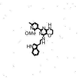 COc1nc(C)ccc1-c1nc2c(c(NCCc3c[nH]c4ccccc34)n1)OCCN2